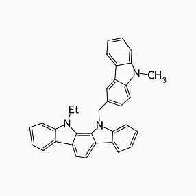 CCn1c2ccccc2c2ccc3c4ccccc4n(Cc4ccc5c(c4)c4ccccc4n5C)c3c21